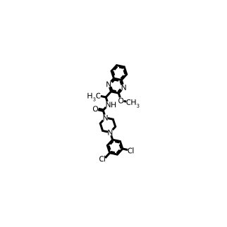 COc1nc2ccccc2nc1C(C)NC(=O)N1CCN(c2cc(Cl)cc(Cl)c2)CC1